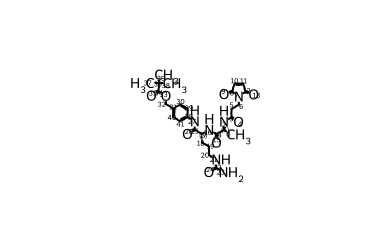 C[C@H](NC(=O)CCN1C(=O)C=CC1=O)C(=O)N[C@@H](CCCNC(N)=O)C(=O)Nc1ccc(COC(=O)C(C)(C)C)cc1